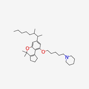 CCCCCC(C)C(C)c1cc(OCCCCCN2CCCCC2)c2c(c1)OC(C)(C)C1=C2CCC1